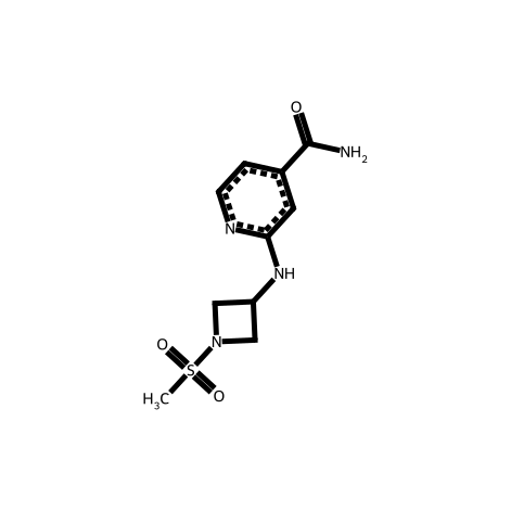 CS(=O)(=O)N1CC(Nc2cc(C(N)=O)ccn2)C1